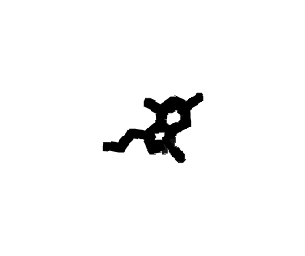 CCCc1cn(C)c2cc(C)cc(C)c12